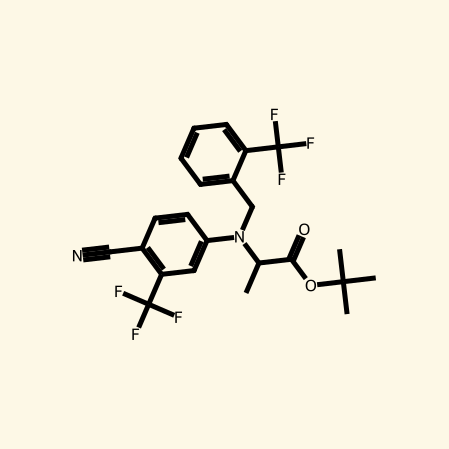 CC(C(=O)OC(C)(C)C)N(Cc1ccccc1C(F)(F)F)c1ccc(C#N)c(C(F)(F)F)c1